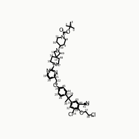 CC(C)(C)OC(=O)N1CCC(N2CC3(CCN(c4nccc(COc5ccc(C(C)(C)c6cc(Cl)c(OCCCl)c(C#N)c6)cc5)n4)CC3)C2)CC1